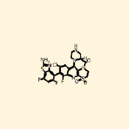 Nc1nc2c(-c3c(Cl)cc4c5c6c(nc4c3F)S(=O)(=O)CCN6C(=O)[C@H]3CNCCN53)c(F)cc(F)c2s1